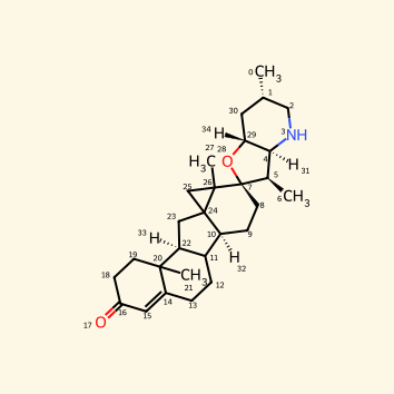 C[C@@H]1CN[C@H]2[C@@H](C)[C@@]3(CC[C@H]4C5CCC6=CC(=O)CCC6(C)[C@H]5CC45CC53C)O[C@@H]2C1